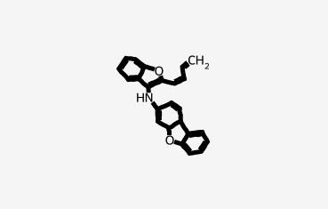 C=C/C=C\c1oc2ccccc2c1NC1=CC2Oc3ccccc3C2C=C1